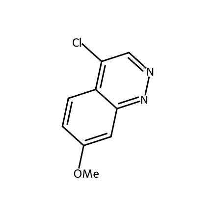 COc1ccc2c(Cl)cnnc2c1